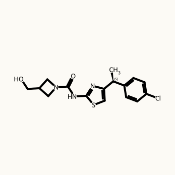 C[C@@H](c1ccc(Cl)cc1)c1csc(NC(=O)N2CC(CO)C2)n1